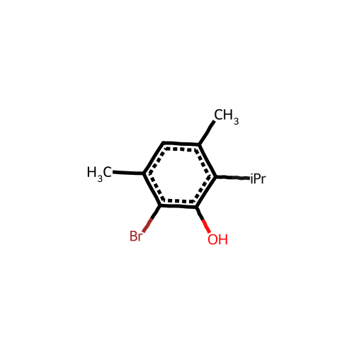 Cc1cc(C)c(C(C)C)c(O)c1Br